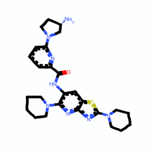 N[C@H]1CCN(c2cccc(C(=O)Nc3cc4sc(N5CCCCC5)nc4nc3N3CCCCC3)n2)C1